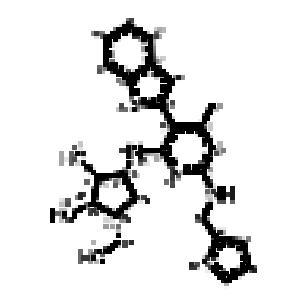 Cc1nc(NCc2cccs2)nc(N[C@@H]2C[C@H](CO)[C@@H](O)[C@H]2O)c1-c1cc2ccccc2s1